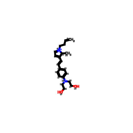 C=CCC[N+]1=CC=C(/C=C/c2ccc(N(CCO)CCO)cc2)C1C